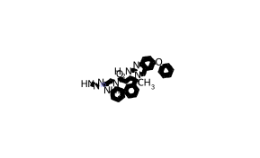 C[C@@](CCC(=O)N(C/C(N)=N/N=N)C1CCCCC1)(C1CCCCC1)N1Cc2cc(Oc3ccccc3)ccc2N=C1N